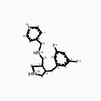 Fc1cc(F)cc(CC2CNCC2CNCc2ccncc2)c1